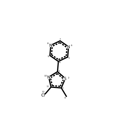 Cc1sc(-c2cncnc2)nc1Cl